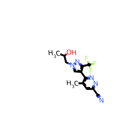 Cc1cc(C#N)nnc1-c1cn(CC(C)O)nc1C(F)(F)F